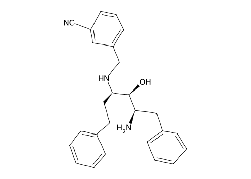 N#Cc1cccc(CN[C@H](CCc2ccccc2)[C@@H](O)[C@H](N)Cc2ccccc2)c1